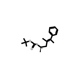 C/C(C[C@@H](C)NC(=O)OC(C)(C)C)=C(/C)c1ccccc1